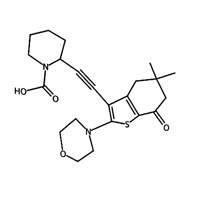 CC1(C)CC(=O)c2sc(N3CCOCC3)c(C#CC3CCCCN3C(=O)O)c2C1